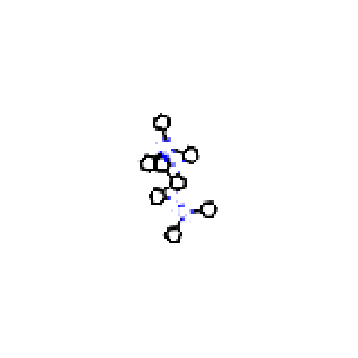 c1ccc(-c2nc(-c3ccccc3)nc(-c3ccccc3-n3c4ccccc4c4c5c6ccccc6n(-c6nc(-c7ccccc7)nc(-c7ccccc7)n6)c5ccc43)n2)cc1